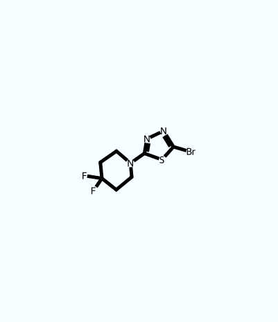 FC1(F)CCN(c2nnc(Br)s2)CC1